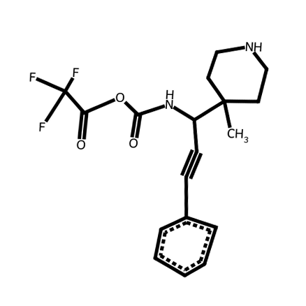 CC1(C(C#Cc2ccccc2)NC(=O)OC(=O)C(F)(F)F)CCNCC1